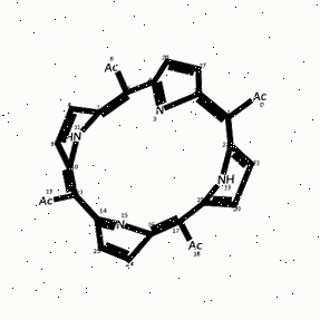 CC(=O)c1c2nc(c(C(C)=O)c3ccc([nH]3)c(C(C)=O)c3nc(c(C(C)=O)c4ccc1[nH]4)C=C3)C=C2